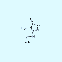 CCNc1n[nH]c(=O)n1C